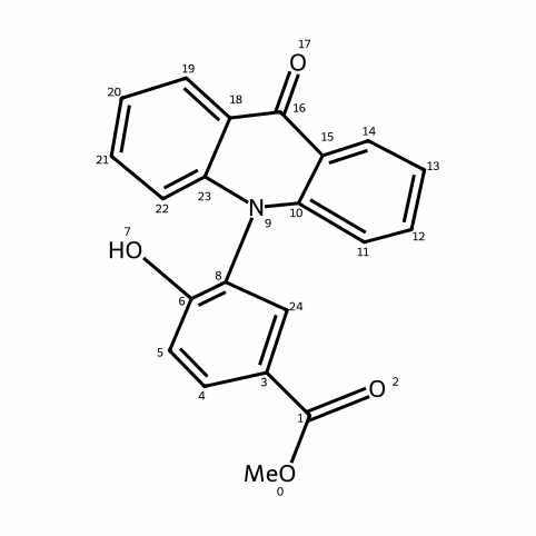 COC(=O)c1ccc(O)c(-n2c3ccccc3c(=O)c3ccccc32)c1